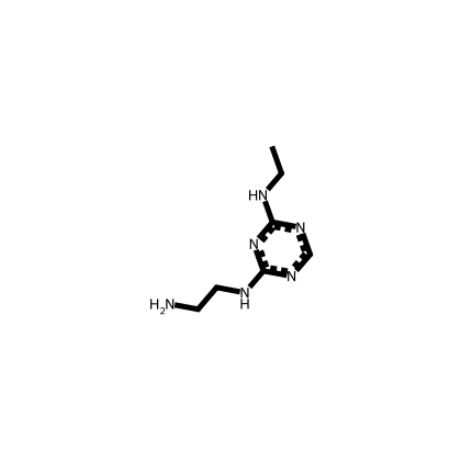 CCNc1ncnc(NCCN)n1